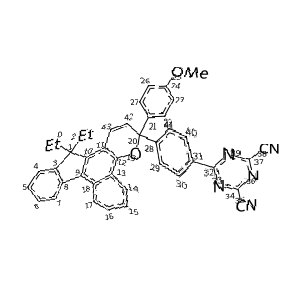 CCC1(CC)c2ccccc2-c2c1c1c(c3ccccc23)OC(c2ccc(OC)cc2)(c2ccc(-c3nc(C#N)nc(C#N)n3)cc2)C=C1